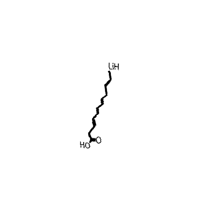 CCCCC=CC=CC=CCC(=O)O.[LiH]